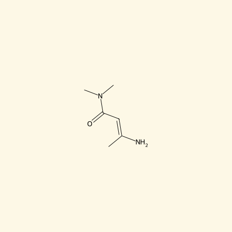 C/C(N)=C\C(=O)N(C)C